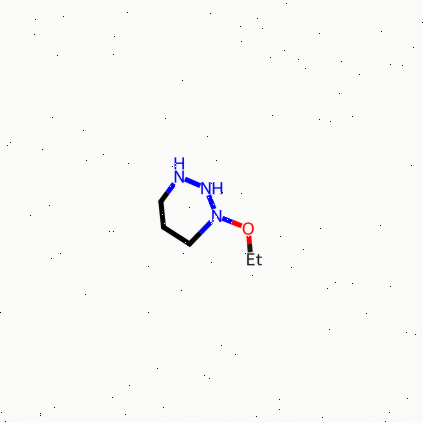 CCON1CCCNN1